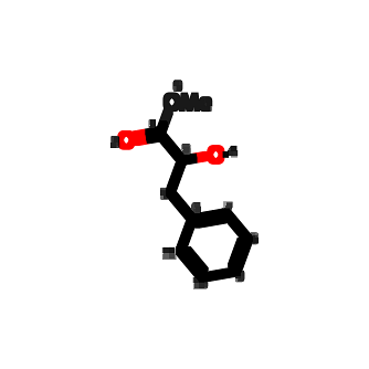 COC(=O)C([O])Cc1ccccc1